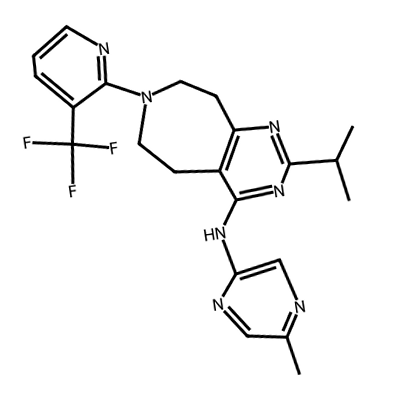 Cc1cnc(Nc2nc(C(C)C)nc3c2CCN(c2ncccc2C(F)(F)F)CC3)cn1